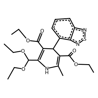 CCOC(=O)C1=C(C)NC(C(OCC)OCC)=C(C(=O)OCC)C1c1cccc2nsnc12